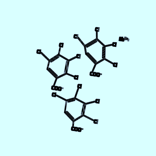 O=C([O-])c1cc(Cl)c(Cl)c(Cl)c1Cl.O=C([O-])c1cc(Cl)c(Cl)c(Cl)c1Cl.O=C([O-])c1cc(Cl)c(Cl)c(Cl)c1Cl.[Sb+3]